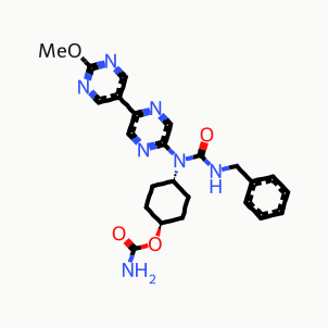 COc1ncc(-c2cnc(N(C(=O)NCc3ccccc3)[C@H]3CC[C@H](OC(N)=O)CC3)cn2)cn1